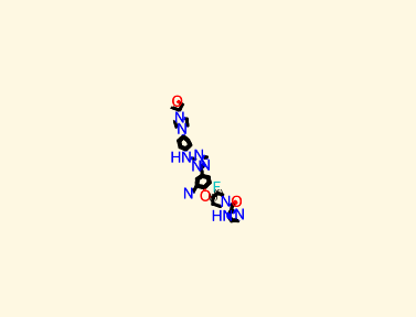 N#Cc1cc(-c2ncnc(Nc3ccc(N4CCN(C5COC5)CC4)cc3)n2)ccc1O[C@H]1CCN(C(=O)c2ncc[nH]2)C[C@@H]1F